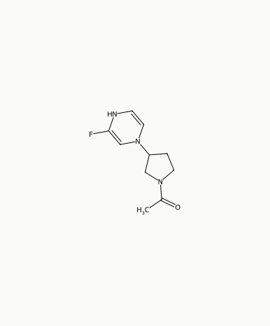 CC(=O)N1CCC(N2C=CNC(F)=C2)C1